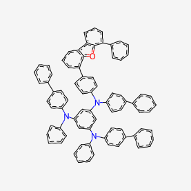 c1ccc(-c2ccc(N(c3ccccc3)c3cc(N(c4ccccc4)c4ccc(-c5ccccc5)cc4)cc(N(c4ccc(-c5ccccc5)cc4)c4ccc(-c5cccc6c5oc5c(-c7ccccc7)cccc56)cc4)c3)cc2)cc1